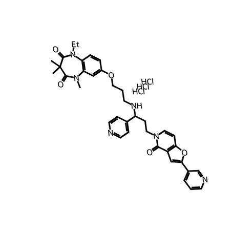 CCN1C(=O)C(C)(C)C(=O)N(C)c2cc(OCCCNC(CCn3ccc4oc(-c5cccnc5)cc4c3=O)c3ccncc3)ccc21.Cl.Cl.Cl